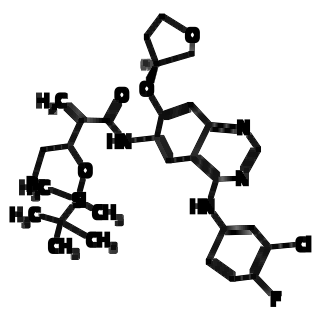 C=C(C(=O)Nc1cc2c(Nc3ccc(F)c(Cl)c3)ncnc2cc1O[C@H]1CCOC1)C(CBr)O[Si](C)(C)C(C)(C)C